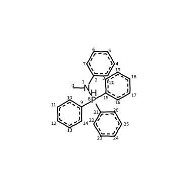 CN(c1ccccc1)[PH](c1ccccc1)(c1ccccc1)c1ccccc1